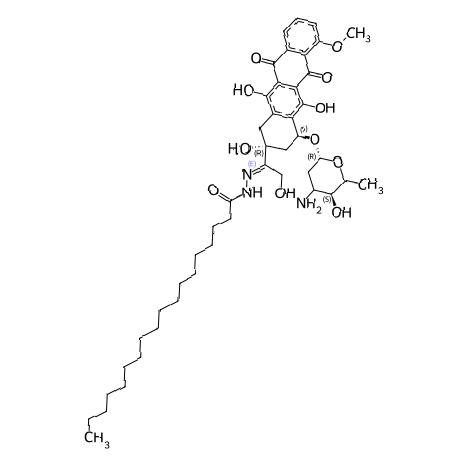 CCCCCCCCCCCCCCCCCC(=O)N/N=C(\CO)[C@@]1(O)Cc2c(O)c3c(c(O)c2[C@@H](O[C@H]2CC(N)[C@H](O)C(C)O2)C1)C(=O)c1c(OC)cccc1C3=O